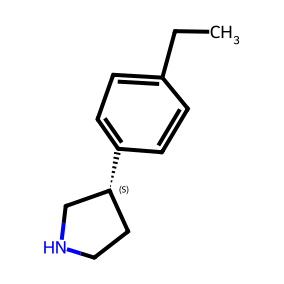 CCc1ccc([C@@H]2CCNC2)cc1